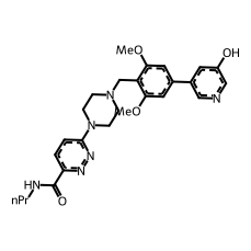 CCCNC(=O)c1ccc(N2CCN(Cc3c(OC)cc(-c4cncc(O)c4)cc3OC)CC2)nn1